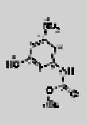 CC(C)(C)OC(=O)Nc1cc(O)cc([N+](=O)[O-])c1